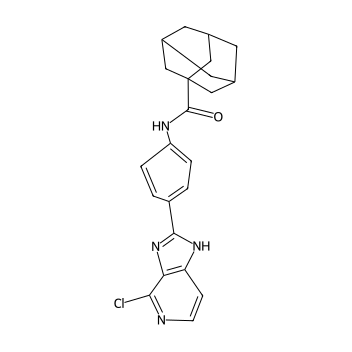 O=C(Nc1ccc(-c2nc3c(Cl)nccc3[nH]2)cc1)C12CC3CC(CC(C3)C1)C2